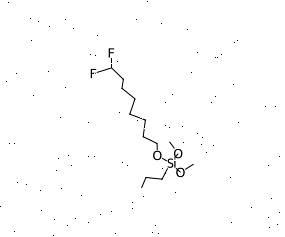 CCC[Si](OC)(OC)OCCCCCCCC(F)F